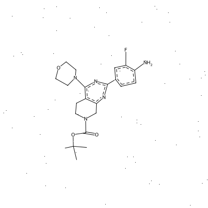 CC(C)(C)OC(=O)N1CCc2c(nc(-c3ccc(N)c(F)c3)nc2N2CCOCC2)C1